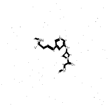 CN[C@@H](C)C/C=C/c1cncc(OC2CN(C(=O)COC)C2)c1